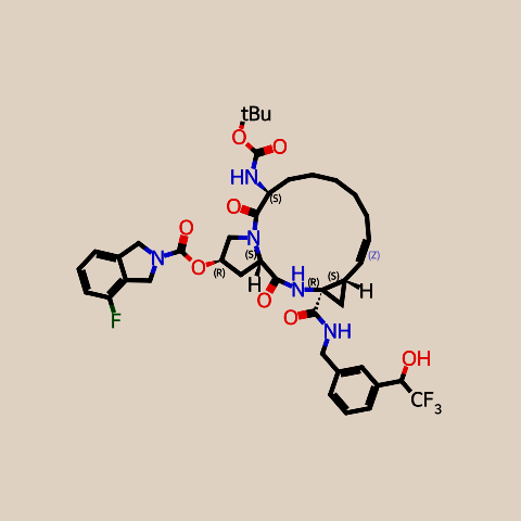 CC(C)(C)OC(=O)N[C@H]1CCCCC/C=C\[C@@H]2C[C@@]2(C(=O)NCc2cccc(C(O)C(F)(F)F)c2)NC(=O)[C@@H]2C[C@@H](OC(=O)N3Cc4cccc(F)c4C3)CN2C1=O